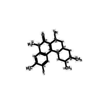 Cc1nc2c(cc1F)c1c(c(=O)n2C)N(C(C)C)CC2CN(C)C(C)CN12